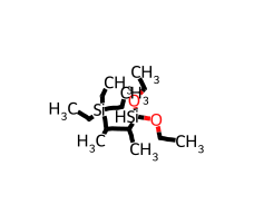 CCO[SiH](OCC)C(C)C(C)[Si](CC)(CC)CC